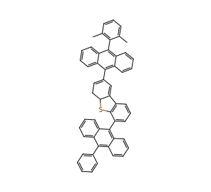 Cc1cccc(C)c1-c1c2ccccc2c(C2=CCC3Sc4c(cccc4-c4c5ccccc5c(-c5ccccc5)c5ccccc45)C3=C2)c2ccccc12